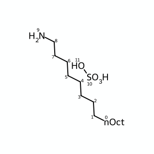 CCCCCCCCCCCCCCCCN.O=S(=O)(O)O